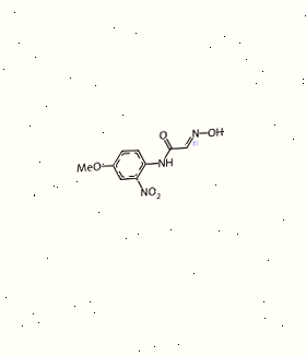 COc1ccc(NC(=O)/C=N/O)c([N+](=O)[O-])c1